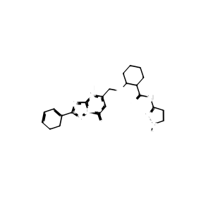 CN1CCC(NC(=O)C2CCCCC2OCc2cc(=O)n3nc(C4=CC=CCC4)nc3[nH]2)=N1